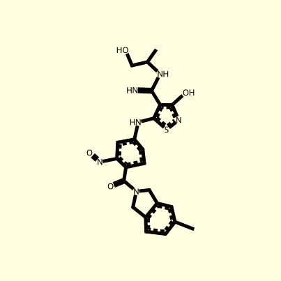 Cc1ccc2c(c1)CN(C(=O)c1ccc(Nc3snc(O)c3C(=N)NC(C)CO)cc1N=O)C2